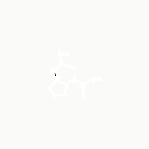 CCCCCC(=O)N[C@@H]1CCC[C@H]1NC(=O)CCCCC